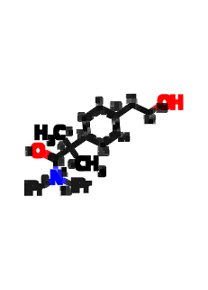 CC(C)N(C(=O)C(C)(C)c1ccc(CCO)cc1)C(C)C